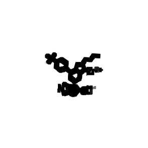 CC1=C2C3=CN=CC3=C1[Si]2(C)C.CCCCC1=Cc2c(-c3ccc(C(C)(C)C)cc3)cccc2[CH]1[Zr+2].[Cl-].[Cl-]